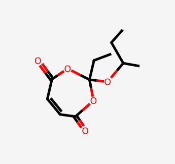 CCC(C)OC1(CC)OC(=O)C=CC(=O)O1